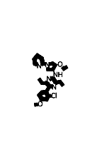 CCO[C@H]1CN(c2ccccn2)C[C@H]1Nc1nc(CC)c(-c2ccc(OC)cc2Cl)nc1CC